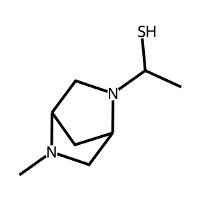 CC(S)N1CC2CC1CN2C